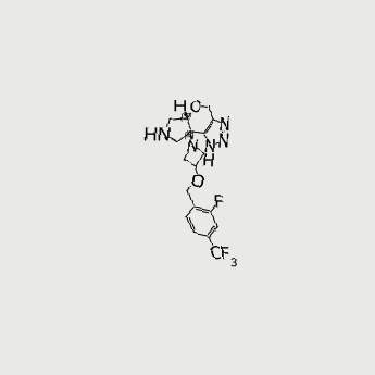 Fc1cc(C(F)(F)F)ccc1COC1CN([C@@]23CNC[C@@H]2OCc2nn[nH]c23)C1